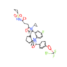 O=C(CCC(=O)N(C1CC1)[C@H]1c2cc(F)ccc2N(C(=O)c2ccc(OC(F)(F)F)cc2)[C@H]2CCC[C@H]21)NS(=O)(=O)C1CC1